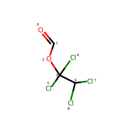 O=[C]OC(Cl)(Cl)C(Cl)Cl